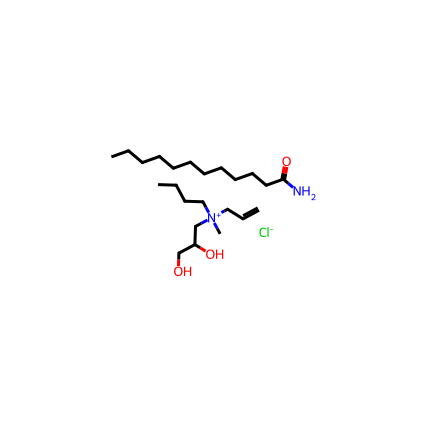 C=CC[N+](C)(CCCC)CC(O)CO.CCCCCCCCCCCC(N)=O.[Cl-]